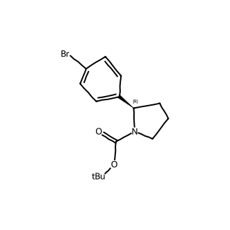 CC(C)(C)OC(=O)N1CCC[C@@H]1c1ccc(Br)cc1